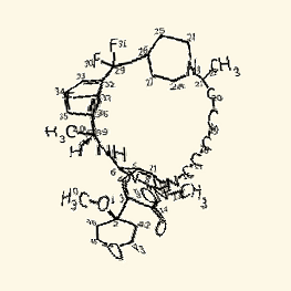 COC1(c2cc3c4nc(=O)n(c3n(C)c2=O)CCCCCC(C)N2CCC(CC2)C(F)(F)c2cccc(c2F)[C@@H](C)N4)CCOCC1